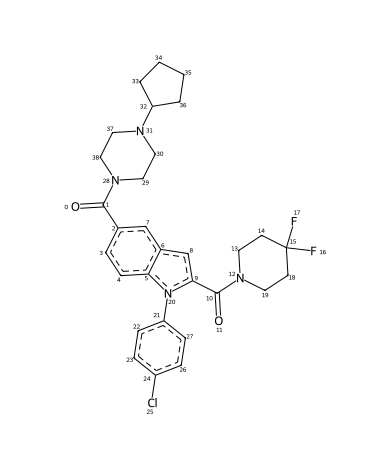 O=C(c1ccc2c(c1)cc(C(=O)N1CCC(F)(F)CC1)n2-c1ccc(Cl)cc1)N1CCN(C2CCCC2)CC1